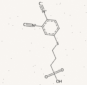 [C-]#[N+]c1ccc(SCCCS(=O)(=O)O)cc1[N+]#[C-]